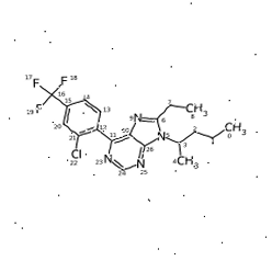 CCCC(C)n1c(CC)nc2c(-c3ccc(C(F)(F)F)cc3Cl)ncnc21